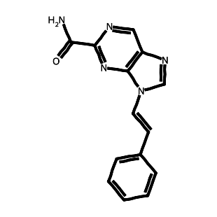 NC(=O)c1ncc2ncn(C=Cc3ccccc3)c2n1